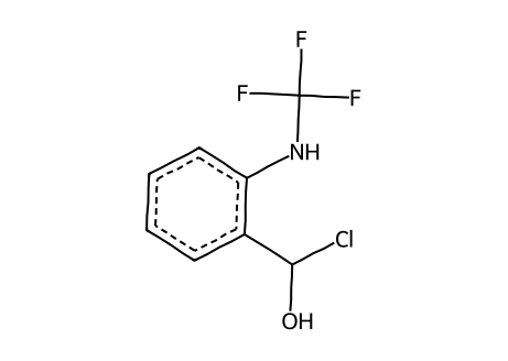 OC(Cl)c1ccccc1NC(F)(F)F